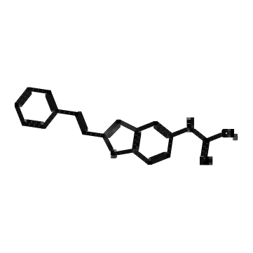 CC(=N)Nc1ccc2sc(C=Cc3ccccc3)cc2c1